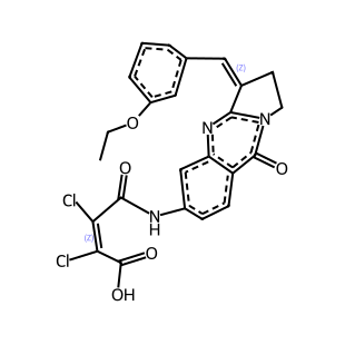 CCOc1cccc(/C=C2/CCn3c2nc2cc(NC(=O)/C(Cl)=C(/Cl)C(=O)O)ccc2c3=O)c1